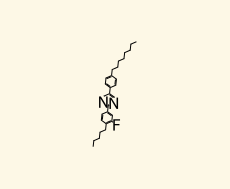 CCCCCCCCc1ccc(-c2cnc(-c3ccc(CCCCC)c(F)c3)nc2)cc1